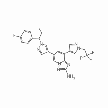 CCC(c1ccc(F)cc1)n1cc(-c2cc(-c3cnn(CC(F)(F)F)c3)c3nc(N)nn3c2)cn1